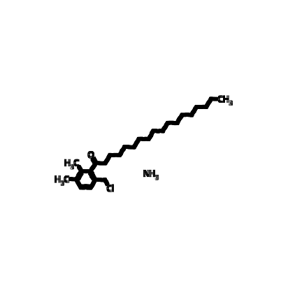 CCCCCCCCCCCCCCCCCC(=O)c1c(CCl)ccc(C)c1C.N